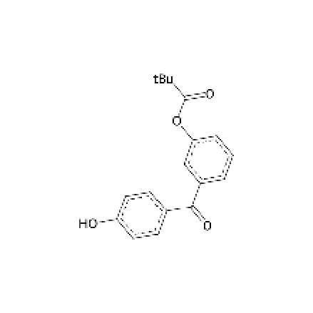 CC(C)(C)C(=O)Oc1cccc(C(=O)c2ccc(O)cc2)c1